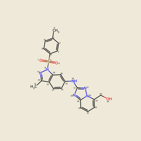 Cc1ccc(S(=O)(=O)n2nc(C)c3ccc(Nc4nc5cccc(CO)n5n4)cc32)cc1